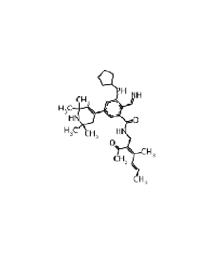 C/C=C/C(C)=C(/CNC(=O)c1cc(C2=CC(C)(C)NC(C)(C)C2)cc(PC2CCCC2)c1C=N)C(C)=O